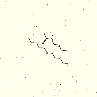 CCCCOC(C)=O.CCOCCOCCOCC